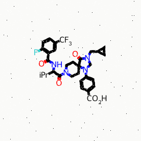 CC(C)C(NC(=O)c1cc(C(F)(F)F)ccc1F)C(=O)N1CCC2(CC1)C(=O)N(CC1CC1)CN2c1ccc(C(=O)O)cc1